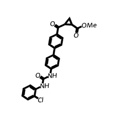 COC(=O)C1CC1C(=O)c1ccc(-c2ccc(NC(=O)Nc3ccccc3Cl)cc2)cc1